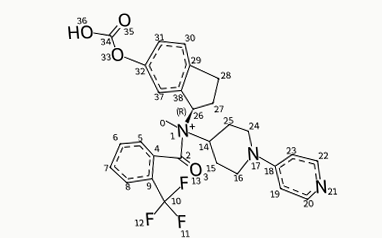 C[N+](C(=O)c1ccccc1C(F)(F)F)(C1CCN(c2ccncc2)CC1)[C@@H]1CCc2ccc(OC(=O)O)cc21